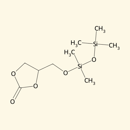 C[Si](C)(C)O[Si](C)(C)OCC1COC(=O)O1